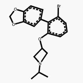 CC(C)N1CC(Oc2[c]ccc(Br)c2-c2ccc3c(c2)OCO3)C1